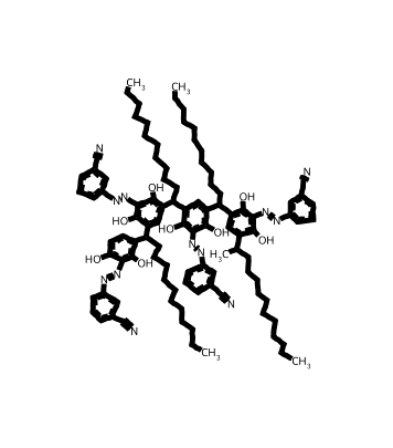 CCCCCCCCCCCC(C)c1cc(C(CCCCCCCCCCC)c2cc(C(CCCCCCCCCCC)c3cc(C(CCCCCCCCCCC)c4ccc(O)c(N=Nc5cccc(C#N)c5)c4O)c(O)c(N=Nc4cccc(C#N)c4)c3O)c(O)c(N=Nc3cccc(C#N)c3)c2O)c(O)c(N=Nc2cccc(C#N)c2)c1O